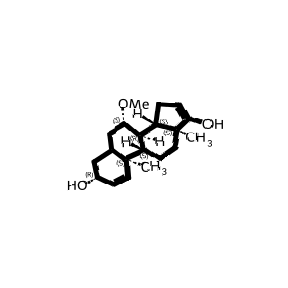 CO[C@H]1CC2C[C@@H](O)C=C[C@]2(C)[C@H]2CC[C@]3(C)C(O)=CC[C@H]3[C@H]12